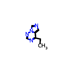 CCc1ncnn2cncc12